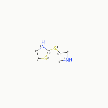 C1CSC(SC2CNC2)N1